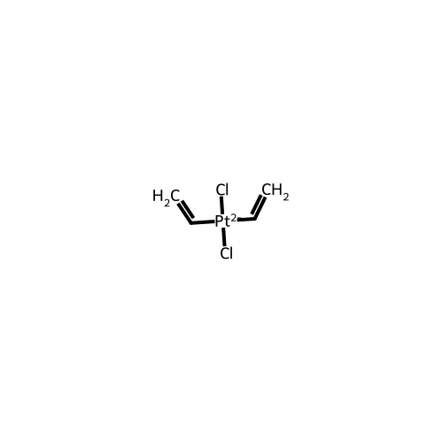 C=[CH][Pt-2]([Cl])([Cl])[CH]=C